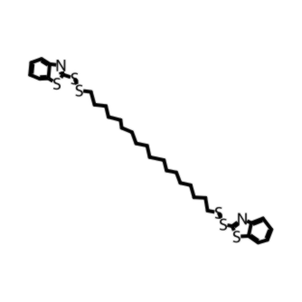 c1ccc2sc(SSCCCCCCCCCCCCCCCCCCSSc3nc4ccccc4s3)nc2c1